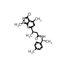 Cc1ccc([C@H](C)NC(=O)CC(C)c2cc(C)c3c(Cl)nn(C)c3n2)cc1